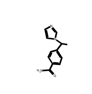 CC(c1ccc(C(N)=O)cc1)n1ccnc1